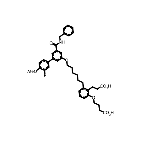 COc1ccc(-c2cc(OCCCCCCc3cccc(OCCCC(=O)O)c3CCC(=O)O)cc(C(=O)NCc3ccccc3)c2)cc1F